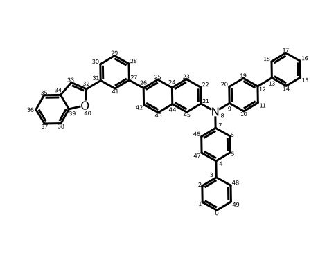 c1ccc(-c2ccc(N(c3ccc(-c4ccccc4)cc3)c3ccc4cc(-c5cccc(-c6cc7ccccc7o6)c5)ccc4c3)cc2)cc1